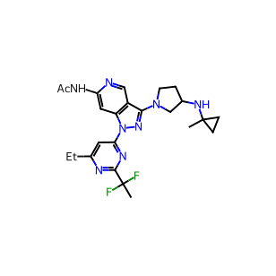 CCc1cc(-n2nc(N3CCC(NC4(C)CC4)C3)c3cnc(NC(C)=O)cc32)nc(C(C)(F)F)n1